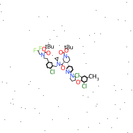 Cc1cc(Cl)c(O[C@@H]2CCN(c3ccc([C@H]4CCN(C(=O)OC(C)(C)C)C[C@@H]4C(=O)N(Cc4cc(CCN(CC(F)F)C(=O)OC(C)(C)C)ccc4Cl)C4CC4)cn3)C2)c(Cl)c1